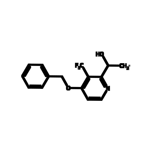 [CH2]C(O)c1nccc(OCc2ccccc2)c1C(F)(F)F